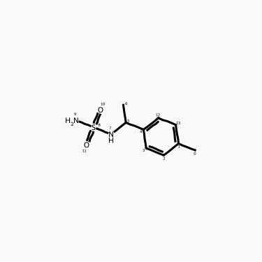 Cc1ccc(C(C)NS(N)(=O)=O)cc1